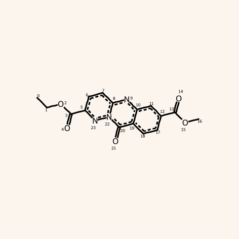 CCOC(=O)c1ccc2nc3cc(C(=O)OC)ccc3c(=O)n2n1